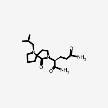 CC(C)CN1CCCC12CCN([C@@H](CCC(N)=O)C(N)=O)C2=O